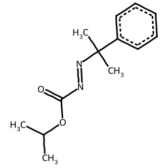 CC(C)OC(=O)N=NC(C)(C)c1ccccc1